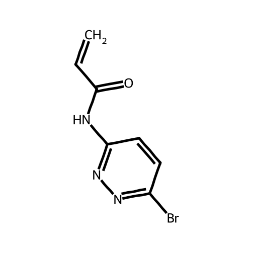 C=CC(=O)Nc1ccc(Br)nn1